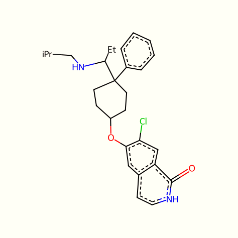 CCC(NCC(C)C)C1(c2ccccc2)CCC(Oc2cc3cc[nH]c(=O)c3cc2Cl)CC1